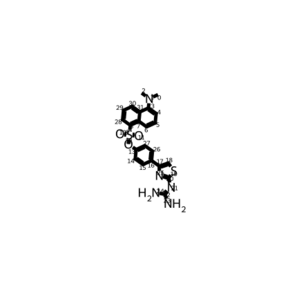 CN(C)c1cccc2c(S(=O)(=O)Oc3ccc(-c4csc(N=C(N)N)n4)cc3)cccc12